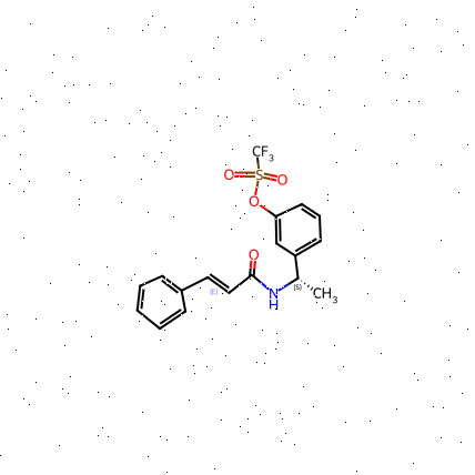 C[C@H](NC(=O)/C=C/c1ccccc1)c1cccc(OS(=O)(=O)C(F)(F)F)c1